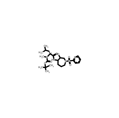 CC(C)C[C@@H](C(=O)NC1CCCN(S(=O)(=O)c2ccccn2)CC1O)N(C)C(=O)OC(C)(C)C